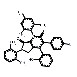 Cc1cc(C)c(-n2c3c(c(-c4ccccc4O)c(-c4ccc(Br)cc4)c2=O)CN(c2c(C)cccc2C)C3=O)c(C)c1